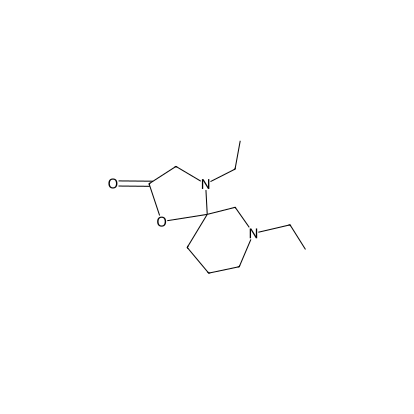 CCN1CCCC2(C1)OC(=O)CN2CC